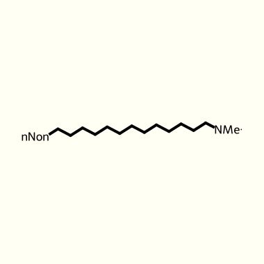 CCCCCCCCCCCCCCCCCCCCCC[N]C